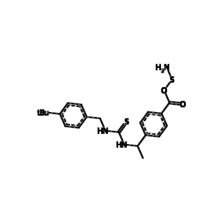 CC(NC(=S)NCc1ccc(C(C)(C)C)cc1)c1ccc(C(=O)OSN)cc1